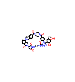 CCNC(=O)c1nnc(-c2cc(C(C)C)c(O)cc2O)n1-c1ccc(C(=O)N2CCN(C(=O)c3ccc(CN(C(=O)O)c4cccc5c4CN(C4CCC(=O)NC4=O)C5=O)cc3)CC2)cc1